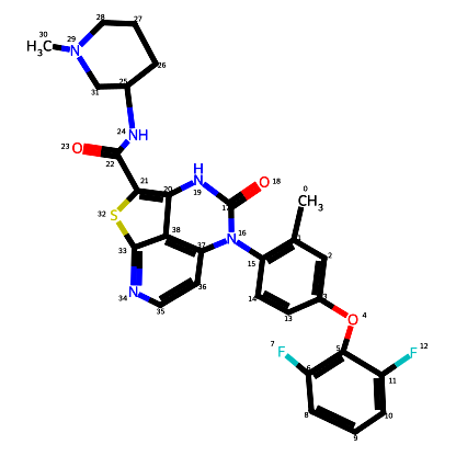 Cc1cc(Oc2c(F)cccc2F)ccc1N1C(=O)Nc2c(C(=O)NC3CCCN(C)C3)sc3nccc1c23